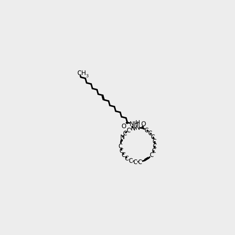 CCCCCCCCC=CCCCCCCCC(=O)NN1CCN=CCCCCCCCC=CCCCCCCCC(=O)N1